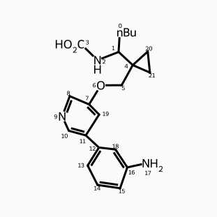 CCCCC(NC(=O)O)C1(COc2cncc(-c3cccc(N)c3)c2)CC1